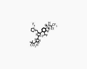 CCC(NS(=O)(=O)c1ccc(-c2sc(-c3noc(CC(C)(C)C(=O)O)n3)nc2CN2CCC[C@@H]2CF)c(C(F)F)c1F)C(F)(F)F